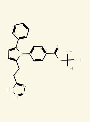 CC(C)(C)OC(=O)c1ccc(-n2c(CCc3nnn[nH]3)ccc2-c2ccccc2)cc1